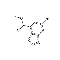 COC(=O)c1cc(Br)cc2nccn12